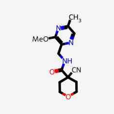 COc1nc(C)cnc1CNC(=O)C1(C#N)CCOCC1